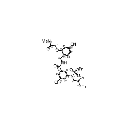 CCCS(=O)(=O)N(CC(N)=O)c1cc(Cl)cc(C(=O)NCc2ccc(C#N)cc2OCC(=O)NC)c1